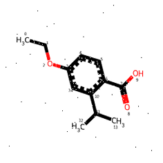 CCOc1ccc(C(=O)O)c(C(C)C)c1